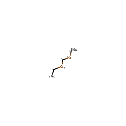 CC(=O)CSCSC(C)(C)C